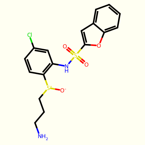 NCCC[S+]([O-])c1ccc(Cl)cc1NS(=O)(=O)c1cc2ccccc2o1